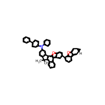 CC1(C)c2ccc(N(c3ccccc3)c3ccc(-c4ccccc4)cc3)cc2-c2c1c1ccccc1c1c2oc2ccc(-c3cccc4c5c(oc34)=CC3=C[C@@H]3C=5)cc21